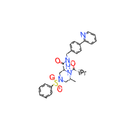 CC(C)C(=O)N1C(C)CN(S(=O)(=O)c2ccccc2)CC1C(=O)NCc1ccc(-c2ccccn2)cc1